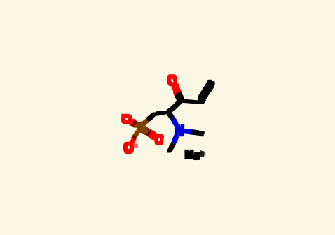 C=CC(=O)C(CS(=O)(=O)[O-])N(C)C.[Na+]